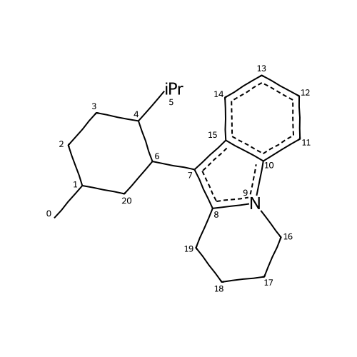 CC1CCC(C(C)C)C(c2c3n(c4ccccc24)CCCC3)C1